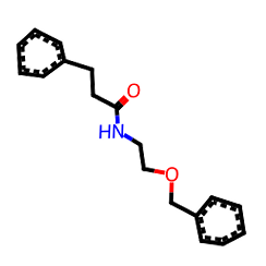 O=C(CCc1ccccc1)NCCOCc1ccccc1